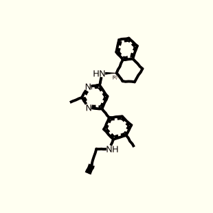 C#CCNc1cc(-c2cc(N[C@@H]3CCCc4ccccc43)nc(C)n2)ccc1C